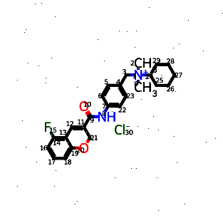 C[N+](C)(Cc1ccc(NC(=O)C2=Cc3c(F)cccc3OC2)cc1)C1CCCCC1.[Cl-]